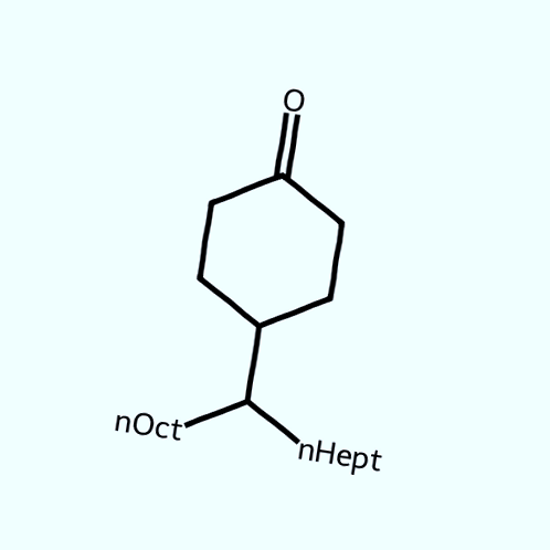 CCCCCCCCC(CCCCCCC)C1CCC(=O)CC1